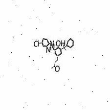 CC(=O)CCc1cc(-n2nc3ccc(Cl)cc3n2)c(O)c(C(C)(C)c2ccccc2)c1